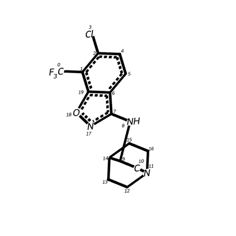 FC(F)(F)c1c(Cl)ccc2c(NC3CN4CCC3CC4)noc12